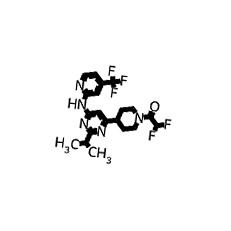 CC(C)c1nc(Nc2cc(C(F)(F)F)ccn2)cc(C2CCN(C(=O)C(F)F)CC2)n1